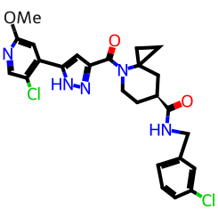 COc1cc(-c2cc(C(=O)N3CC[C@H](C(=O)NCc4cccc(Cl)c4)CC34CC4)n[nH]2)c(Cl)cn1